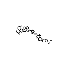 CC1(C)CCN2CCC(C)(C)c3c2c1cc1cc(/C=C/c2ccc(/C=C/C4=Nc5ccc(C(=O)O)cc5C4(C)C)s2)c(=O)oc31